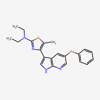 CCN(CC)c1nc(-c2c[nH]c3ncc(Sc4ccccc4)cc23)c(C)s1